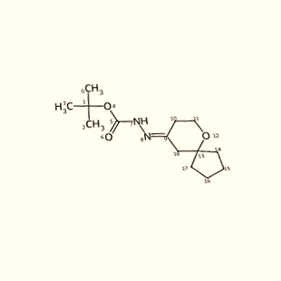 CC(C)(C)OC(=O)NN=C1CCOC2(CCCC2)C1